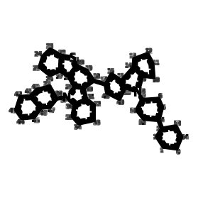 c1ccc(-c2ccc(-n3c4ccccc4c4cc(-c5cc6sc7ccccc7c6c6c5c5ccccc5n6-c5ccc6ccccc6c5)ccc43)cc2)cc1